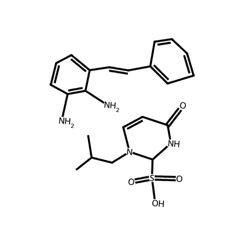 CC(C)CN1C=CC(=O)NC1S(=O)(=O)O.Nc1cccc(C=Cc2ccccc2)c1N